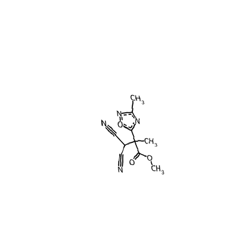 COC(=O)C(C)(c1nc(C)no1)C(C#N)C#N